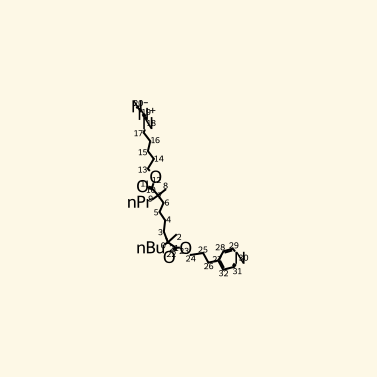 CCCCC(C)(CCCCC(C)(CCC)C(=O)OCCCCCN=[N+]=[N-])C(=O)OCCCc1ccncc1